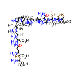 CC(C)[C@H](N)C(=O)O.CC(C)[C@H](N)C(=O)O.CC(C)[C@H](N)C(=O)O.CC(C)[C@H](N)C(=O)O.C[C@H](N)C(=O)O.C[C@H](N)C(=O)O.NC(=O)CC[C@H](N)C(=O)O.NC(=O)CC[C@H](N)C(=O)O.N[C@@H](CS)C(=O)O.N[C@@H](CS)C(=O)O.N[C@@H](CS)C(=O)[O-].N[C@@H](CS)C(=O)[O-].O=C(O)[C@@H]1CCCN1.O=C(O)[C@@H]1CCCN1.[Cu+2]